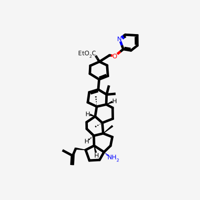 C=C(C)C[C@@H]1CC[C@]2(N)CC[C@]3(C)[C@H](CC[C@@H]4[C@@]5(C)CC=C(C6=CCC(COc7ccccn7)(C(=O)OCC)CC6)C(C)(C)[C@@H]5CC[C@]43C)[C@@H]12